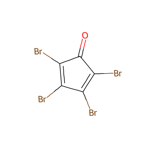 O=C1C(Br)=C(Br)C(Br)=C1Br